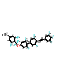 CCCCc1cc(F)c(C(F)(F)Oc2cc(F)c(-c3cc(F)c(C#Cc4cc(F)c(F)c(F)c4)c(F)c3)c(F)c2)c(F)c1